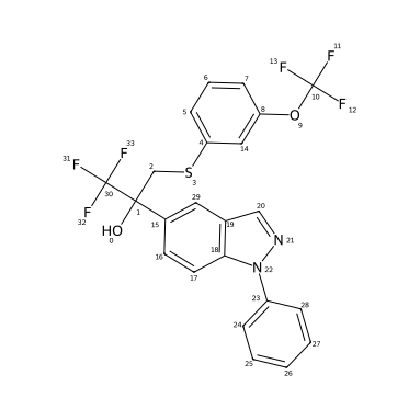 OC(CSc1cccc(OC(F)(F)F)c1)(c1ccc2c(cnn2-c2ccccc2)c1)C(F)(F)F